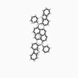 c1ccc(N(c2ccc3ccc4c(N(c5ccccn5)c5cccc6c5oc5ccccc56)ccc5ccc2c3c54)c2cccc3c2oc2ccccc23)cc1